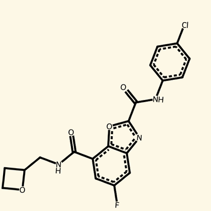 O=C(Nc1ccc(Cl)cc1)c1nc2cc(F)cc(C(=O)NCC3CCO3)c2o1